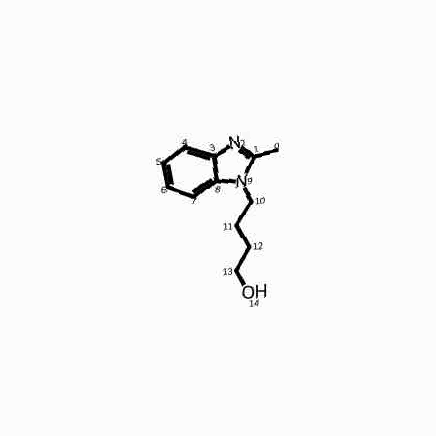 Cc1nc2ccccc2n1CCCCO